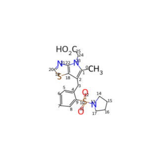 Cc1c(Cc2ccccc2S(=O)(=O)N2CCCC2)c2scnc2n1CC(=O)O